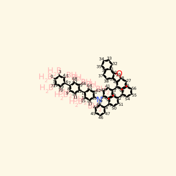 Bc1c(B)c(B)c(-c2c(B)c(B)c(-c3c(B)c(B)c(N(c4ccc(-c5cccc6oc7c8ccccc8ccc7c56)cc4)c4ccccc4-c4ccc(-c5ccccc5)cc4)c(B)c3B)c(B)c2B)c(B)c1B